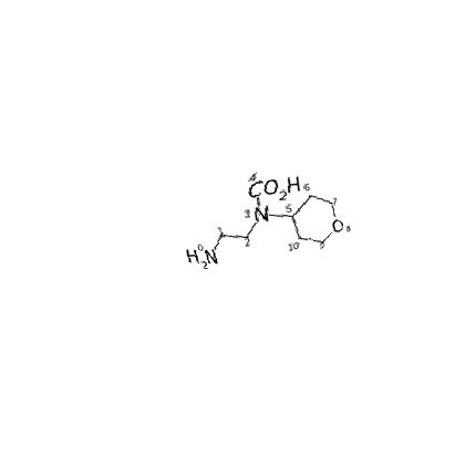 NCCN(C(=O)O)C1CCOCC1